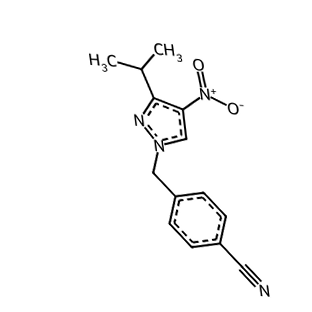 CC(C)c1nn(Cc2ccc(C#N)cc2)cc1[N+](=O)[O-]